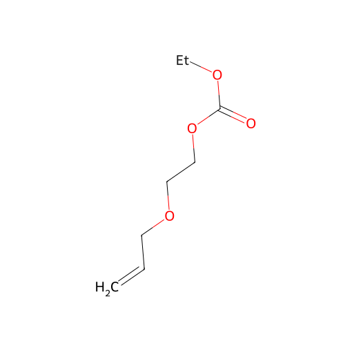 C=CCOCCOC(=O)OCC